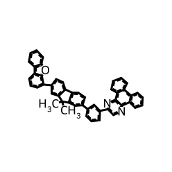 CC1(C)c2cc(-c3cccc(-c4cnc5c6ccccc6c6ccccc6c5n4)c3)ccc2-c2ccc(-c3cccc4c3oc3ccccc34)cc21